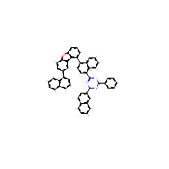 c1ccc(C2NC(c3ccc(-c4cccc5oc6ccc(-c7cccc8ccccc78)cc6c45)c4ccccc34)=NC(c3ccc4ccccc4c3)N2)cc1